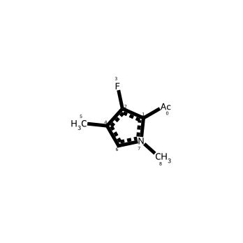 CC(=O)c1c(F)c(C)cn1C